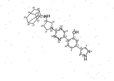 Oc1cc(-c2cn[nH]c2)ccc1-c1cnc(N2CCC(NC3C4CC5CC(C4)CC3C5)C2)nn1